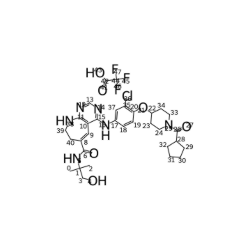 CC(C)(CO)NC(=O)C1=Cc2c(ncnc2Nc2ccc(OC3CCN(C(=O)C4CCCC4)CC3)c(Cl)c2)NCC1.O=C(O)C(F)(F)F